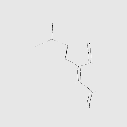 C=C/C=C(\C=C)CCC(C)C